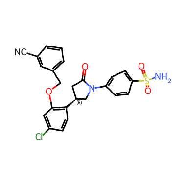 N#Cc1cccc(COc2cc(Cl)ccc2[C@H]2CC(=O)N(c3ccc(S(N)(=O)=O)cc3)C2)c1